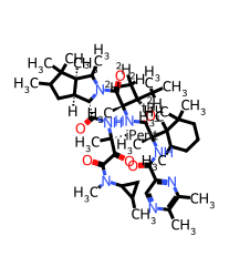 [2H]C([2H])([2H])C(C([2H])(C)C)(C(C)(C)C)[C@](C)(NC(=O)[C@@](C)(NC(=O)c1cnc(C)c(C)n1)C1(C)C(C)CCCC1(C)C)C(=O)N1C(C)[C@@]2(C)[C@H](CC(C)C2(C)C)[C@H]1C(=O)N[C@](C)(C(=O)C(=O)N(C)C1CC1C)C(C)CCC